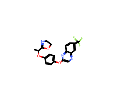 CC(Oc1ccc(Oc2cnc3cc(C(F)(F)F)ccc3n2)cc1)C1=NCCO1